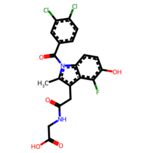 Cc1c(CC(=O)NCC(=O)O)c2c(F)c(O)ccc2n1C(=O)c1ccc(Cl)c(Cl)c1